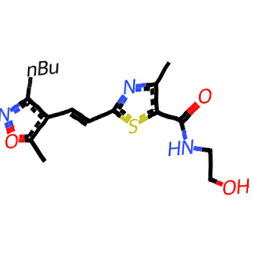 CCCCc1noc(C)c1/C=C/c1nc(C)c(C(=O)NCCO)s1